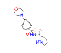 O=C(NS(=O)(=O)c1ccc(N2CCOCC2)cc1)[C@@H]1CCCN1